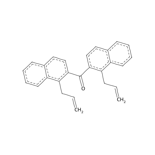 C=CCc1c(C(=O)c2ccc3ccccc3c2CC=C)ccc2ccccc12